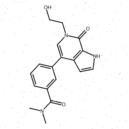 CN(C)C(=O)c1cccc(-c2cn(CCO)c(=O)c3[nH]ccc23)c1